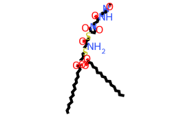 CCCCCCCCCCCCCCCC(=O)OCC(CSCC(N)C(=O)CSC1CC(=O)N(CCC(=O)NCC=NOC)C1=O)OC(=O)CCCCCCCCCCCCCCC